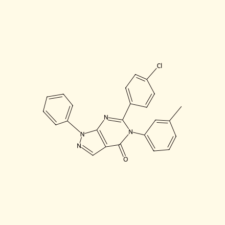 Cc1cccc(-n2c(-c3ccc(Cl)cc3)nc3c(cnn3-c3ccccc3)c2=O)c1